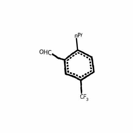 CCCc1ccc(C(F)(F)F)cc1C=O